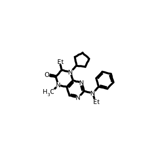 CCC1C(=O)N(C)c2cnc(N(CC)c3ccccc3)nc2N1C1CCCC1